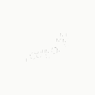 Cc1c(C(=O)Nc2ccnc(C3(C)CC(=O)N(C)C(N)=N3)c2)oc2ccc(F)cc12